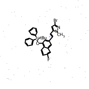 Cn1nc(Br)cc1/C=C/c1cc(O[Si](c2ccccc2)(c2ccccc2)C(C)(C)C)c2ccc(F)cc2c1